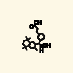 Cc1cc2c(cc1C(NO)c1cccc(C=CC(=O)O)c1)C(C)(C)CCC2(C)C